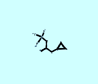 CC(CC1CC1)C[B-](F)(F)F